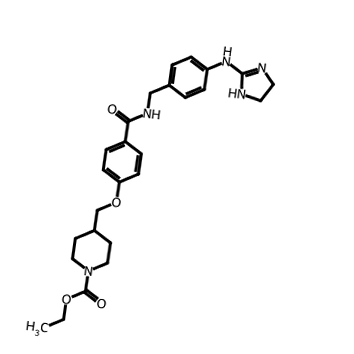 CCOC(=O)N1CCC(COc2ccc(C(=O)NCc3ccc(NC4=NCCN4)cc3)cc2)CC1